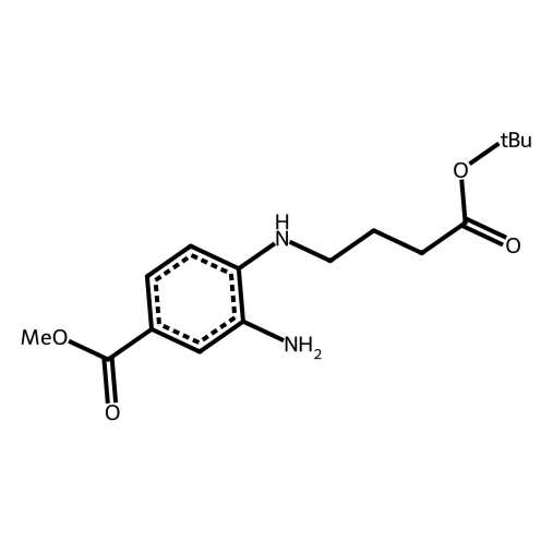 COC(=O)c1ccc(NCCCC(=O)OC(C)(C)C)c(N)c1